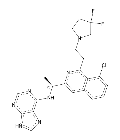 C[C@H](Nc1ncnc2[nH]cnc12)c1cc2cccc(Cl)c2c(CCN2CCC(F)(F)C2)n1